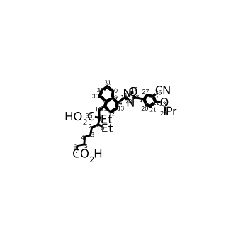 CCC(CCCCCC(=O)O)C(CC)(Cc1ccc(-c2noc(-c3ccc(OC(C)C)c(C#N)c3)n2)c2ccccc12)C(=O)O